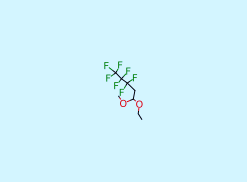 CCOC(CC(F)(F)C(F)(F)C(F)(F)F)OC